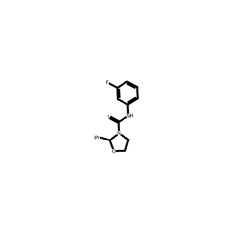 CC(C)C1OCCN1C(=S)Nc1cccc(F)c1